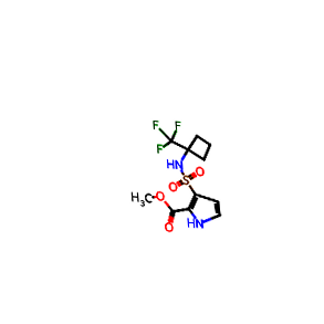 COC(=O)c1[nH]ccc1S(=O)(=O)NC1(C(F)(F)F)CCC1